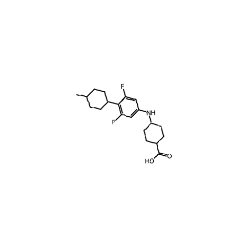 CC1CCC(c2c(F)cc(NC3CCC(C(=O)O)CC3)cc2F)CC1